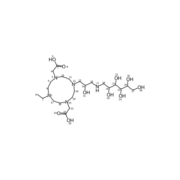 CCN1CCN(CC(=O)O)CCN(CC(O)CNCC(O)C(O)C(O)C(O)CO)CCN(CC(=O)O)CC1